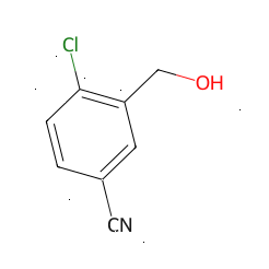 N#Cc1ccc(Cl)c(CO)c1